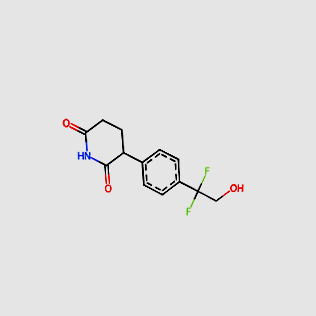 O=C1CCC(c2ccc(C(F)(F)CO)cc2)C(=O)N1